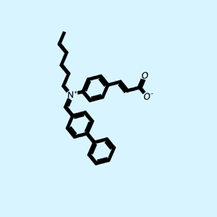 CCCCCC[N+](=Cc1ccc(-c2ccccc2)cc1)c1ccc(C=CC(=O)[O-])cc1